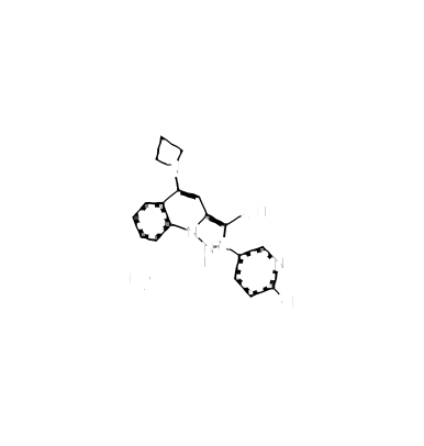 O.OC1=C2C=C(N3CCC3)c3ccccc3N2NN1c1ccc(Cl)nc1